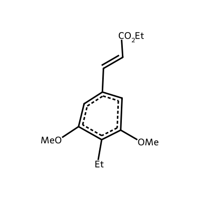 CCOC(=O)/C=C/c1cc(OC)c(CC)c(OC)c1